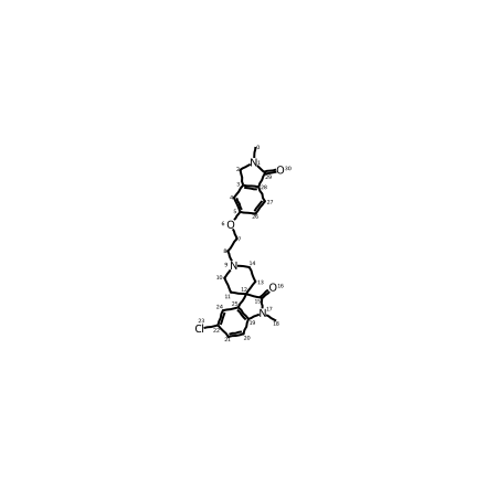 CN1Cc2cc(OCCN3CCC4(CC3)C(=O)N(C)c3ccc(Cl)cc34)ccc2C1=O